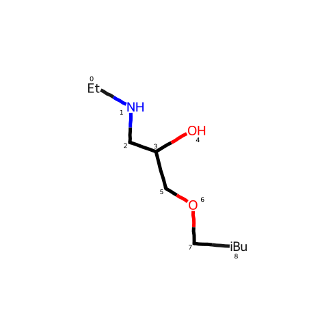 CCNCC(O)COCC(C)CC